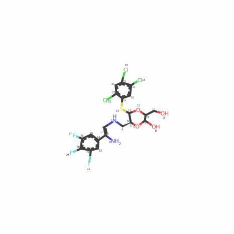 N/C(=C\NC[C@@H]1OC(O)C(CO)OC1Sc1cc(Cl)c(Cl)cc1Cl)c1cc(F)c(F)c(F)c1